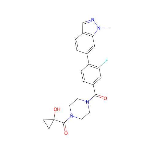 Cn1ncc2ccc(-c3ccc(C(=O)N4CCN(C(=O)C5(O)CC5)CC4)cc3F)cc21